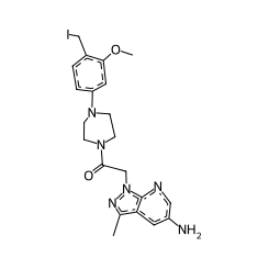 COc1cc(N2CCN(C(=O)Cn3nc(C)c4cc(N)cnc43)CC2)ccc1CI